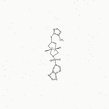 Cn1ccnc1SC1C[C@@H]2CN(S(=O)(=O)c3ccc4scnc4c3)C[C@@H]2C1